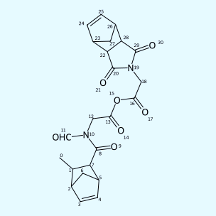 CC1C2C=CC(C2)C1C(=O)N(C=O)CC(=O)OC(=O)CN1C(=O)C2C3C=CC(C3)C2C1=O